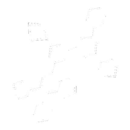 c1ccc(-c2nc(-c3ccccc3)nc(-c3cc(-c4ncccn4)cc(-c4cc5c6ccccc6c6ccccc6c5c5ccccc45)c3)n2)cc1